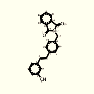 N#Cc1cccc(C=Cc2ccc(CN3C(=O)c4ccccc4C3=O)cc2)c1